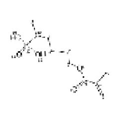 C=C(C)C(=O)OCCCCC(C)P(=O)(O)O